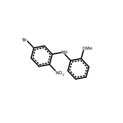 COc1ccccc1Nc1cc(Br)ccc1[N+](=O)[O-]